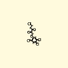 O=C(CCCl)C(=O)COc1cc(Cl)c(Cl)cc1Cl